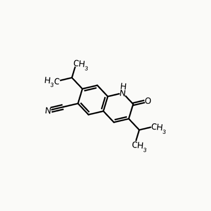 CC(C)c1cc2[nH]c(=O)c(C(C)C)cc2cc1C#N